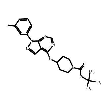 CC(C)(C)OC(=O)N1CCC(Oc2ncnc3c2cnn3-c2cccc(F)c2)CC1